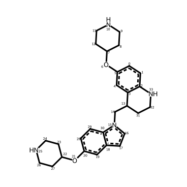 c1cc2c(cc1OC1CCNCC1)C(Cn1ccc3cc(OC4CCNCC4)ccc31)CCN2